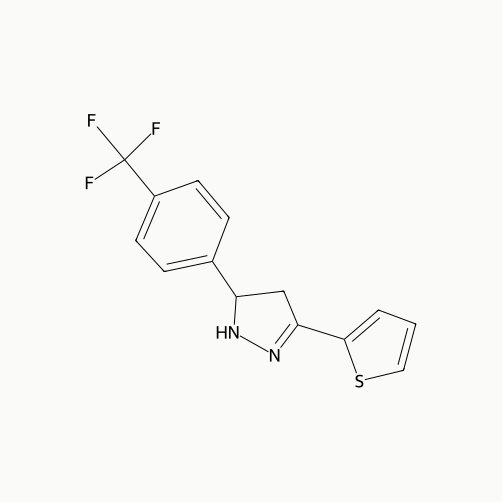 FC(F)(F)c1ccc(C2CC(c3cccs3)=NN2)cc1